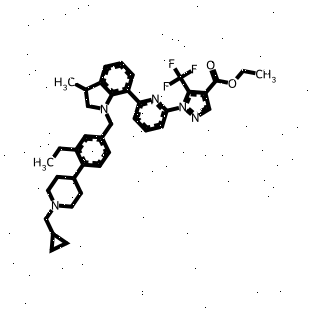 CCOC(=O)c1cnn(-c2cccc(-c3cccc4c3N(Cc3ccc(C5CCN(CC6CC6)CC5)c(CC)c3)CC4C)n2)c1C(F)(F)F